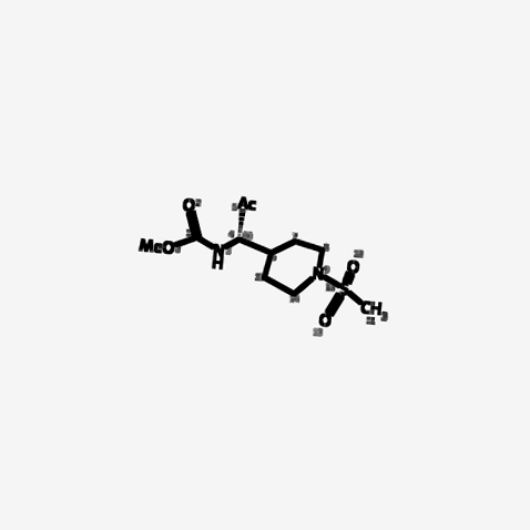 COC(=O)N[C@H](C(C)=O)C1CCN(S(C)(=O)=O)CC1